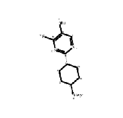 CCCCCCC[C@H]1CC[C@H](c2ncc(CCCC)c(F)n2)CC1